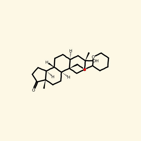 C[C@@]1(O)CC[C@@]2(COC3CCCCO3)[C@@H](CC[C@@H]3[C@@H]2CC[C@]2(C)C(=O)CC[C@@H]32)C1